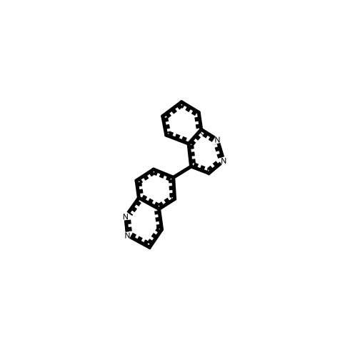 [c]1nnc2ccccc2c1-c1ccc2nnccc2c1